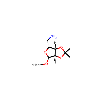 CCCCCCCO[C@H]1O[C@H](CN)[C@@H]2OC(C)(C)O[C@H]12